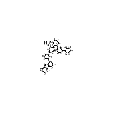 CC1CC=Cc2c1c1ccc(-c3cccc(-c4cccc5c4sc4ccccc45)c3)cc1c1ccc(-c3ccccc3)cc21